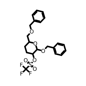 O=S(=O)(OC1CCC(COCc2ccccc2)OC1OCc1ccccc1)C(F)(F)F